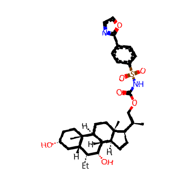 CC[C@H]1[C@@H](O)[C@@H]2[C@H](CC[C@]3(C)[C@@H]([C@H](C)COC(=O)NS(=O)(=O)c4ccc(-c5ncco5)cc4)CC[C@@H]23)[C@@]2(C)CC[C@@H](O)C[C@@H]12